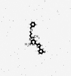 Cn1c(CCCOCc2ccccc2)nc2c(N)nc(-c3ccc(-c4cccc(F)c4)s3)cc21